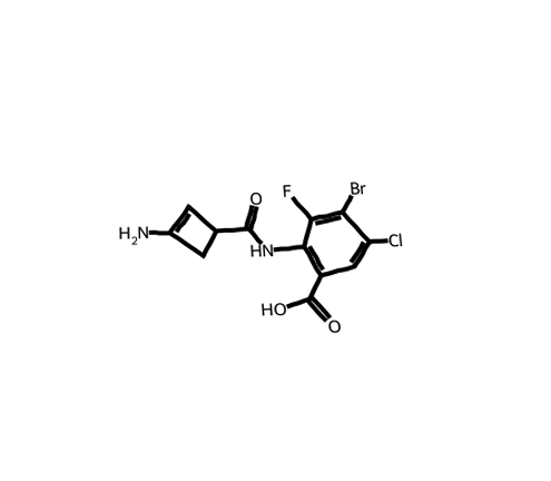 NC1=CC(C(=O)Nc2c(C(=O)O)cc(Cl)c(Br)c2F)C1